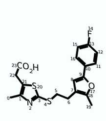 Cc1nc(SCCc2cc(-c3ccc(F)cc3)oc2C)sc1CC(=O)O